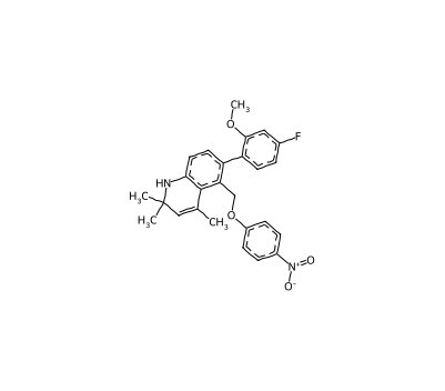 COc1cc(F)ccc1-c1ccc2c(c1COc1ccc([N+](=O)[O-])cc1)C(C)=CC(C)(C)N2